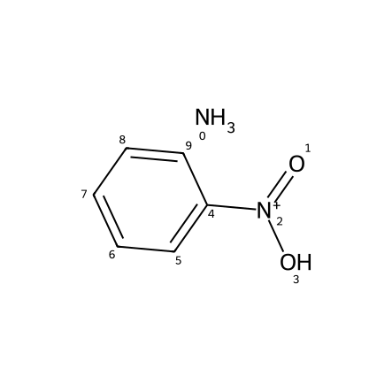 N.O=[N+](O)c1ccccc1